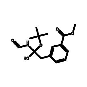 COC(=O)c1cccc(CC(O)(NC=O)OC(C)(C)C)c1